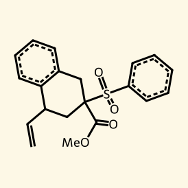 C=CC1CC(C(=O)OC)(S(=O)(=O)c2ccccc2)Cc2ccccc21